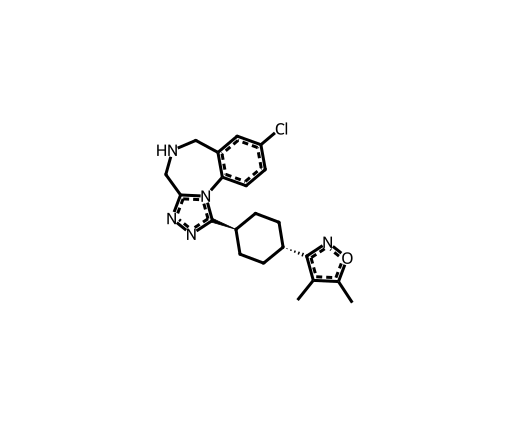 Cc1onc([C@H]2CC[C@H](c3nnc4n3-c3ccc(Cl)cc3CNC4)CC2)c1C